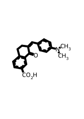 CN(C)c1ccc(C=C2CCc3ccc(C(=O)O)cc3C2=O)cc1